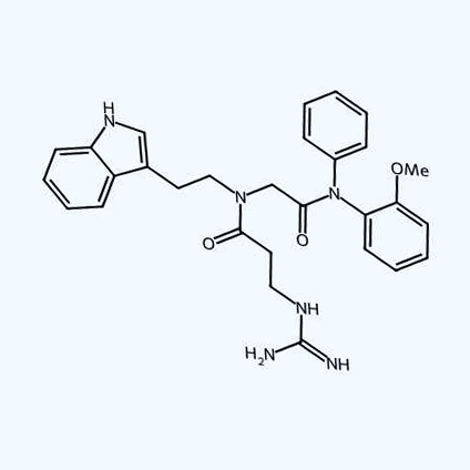 COc1ccccc1N(C(=O)CN(CCc1c[nH]c2ccccc12)C(=O)CCNC(=N)N)c1ccccc1